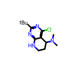 CN(C)C1CCNc2nc(C(C)(C)C)nc(Cl)c21